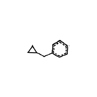 [c]1ccc(CC2CC2)cc1